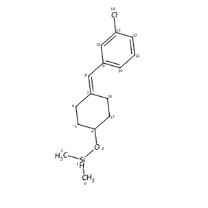 C[SiH](C)OC1CCC(=Cc2cccc(Cl)c2)CC1